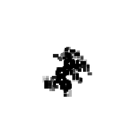 CC(C)(C)c1cc(C(C)(C)C)c2oc3c4c(ccc3c2c1)C(C)(C)c1cc(Cl)ccc1-4